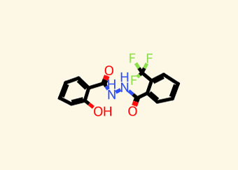 O=C(NNC(=O)c1ccccc1C(F)(F)F)c1ccccc1O